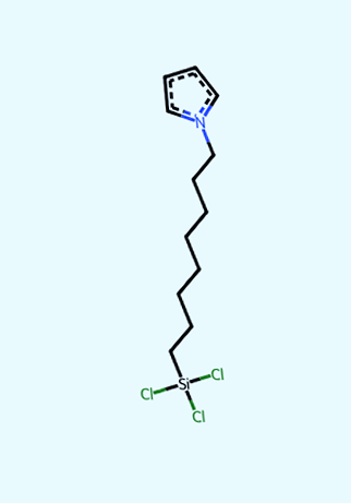 Cl[Si](Cl)(Cl)CCCCCCCCn1cccc1